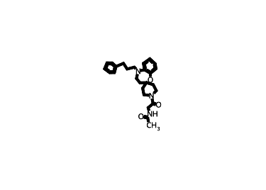 CC(=O)NCC(=O)N1CCC2(CC1)CCN(CCCc1ccccc1)c1ccccc1O2